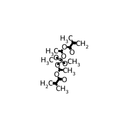 C=C(C)C(=O)OC(C)O[Si](OC)(OC)OC(C)OC(=O)C(=C)C